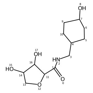 O=C(NCC1CCC(O)CC1)C1OCC(O)C1O